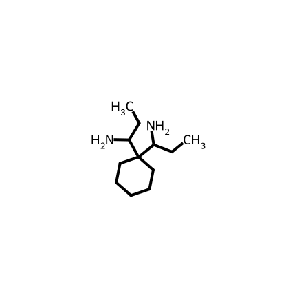 CCC(N)C1(C(N)CC)CCCCC1